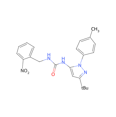 Cc1ccc(-n2nc(C(C)(C)C)cc2NC(=O)NCc2ccccc2[N+](=O)[O-])cc1